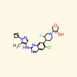 Cc1c(Nc2ncc3cc(Cl)c(C4CCN(C5COC[C@H]5O)CC4F)cc3n2)cnn1C12CC(C1)C2